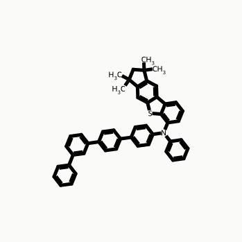 CC1(C)CC(C)(C)c2cc3c(cc21)sc1c(N(c2ccccc2)c2ccc(-c4ccc(-c5cccc(-c6ccccc6)c5)cc4)cc2)cccc13